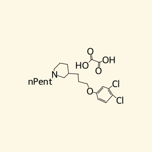 CCCCCN1CCCC(CCCOc2ccc(Cl)c(Cl)c2)C1.O=C(O)C(=O)O